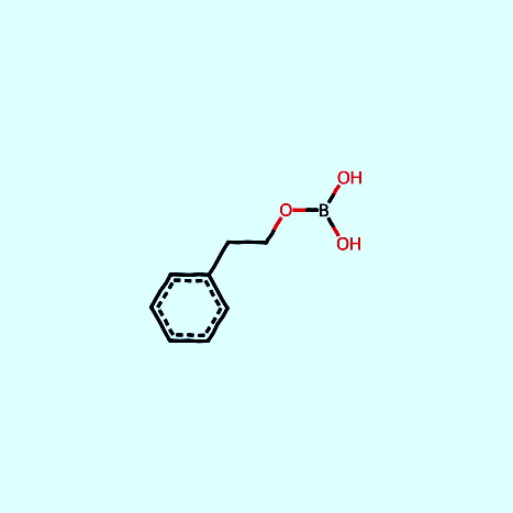 OB(O)OCCc1ccccc1